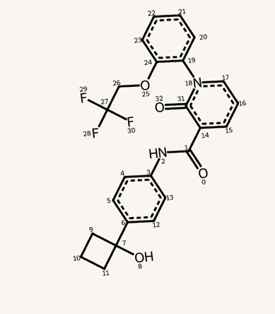 O=C(Nc1ccc(C2(O)CCC2)cc1)c1cccn(-c2ccccc2OCC(F)(F)F)c1=O